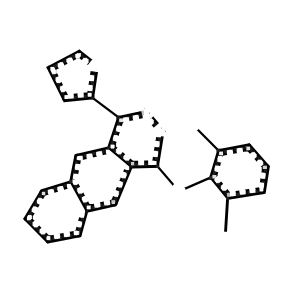 Cc1cccc(C)c1Oc1nnc(-c2ccco2)c2cc3ccccc3cc12